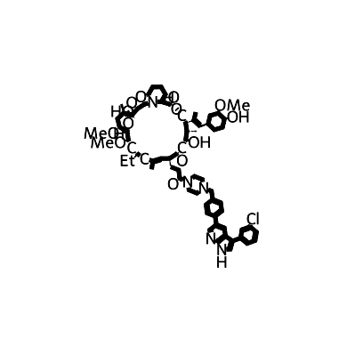 CC[C@H]1C/C(C)=C/[C@@H](CCC(=O)N2CCN(Cc3ccc(-c4cnc5[nH]cc(-c6cccc(Cl)c6)c5c4)cc3)CC2)C(=O)C[C@H](O)[C@@H](C)[C@@H](/C(C)=C/[C@@H]2CC[C@@H](O)[C@H](OC)C2)COC(=O)[C@@H]2CCCCN2C(=O)C(=O)[C@]2(O)O[C@H]([C@@H](OC)C1)[C@@H](OC)C[C@H]2C